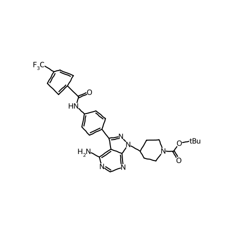 CC(C)(C)OC(=O)N1CCC(n2nc(-c3ccc(NC(=O)c4ccc(C(F)(F)F)cc4)cc3)c3c(N)ncnc32)CC1